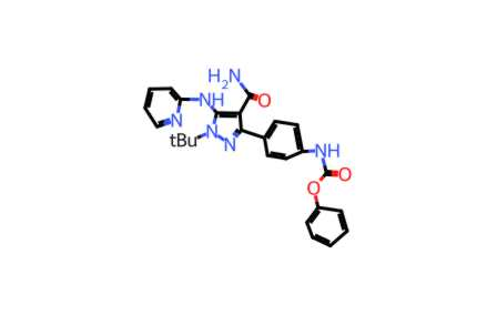 CC(C)(C)n1nc(-c2ccc(NC(=O)Oc3ccccc3)cc2)c(C(N)=O)c1Nc1ccccn1